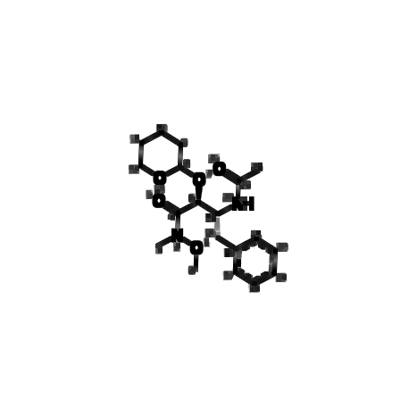 CON(C)C(=O)[C@@H](OC1CCCCO1)[C@@H](Cc1ccccc1)NC(C)=O